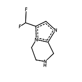 FC(F)c1cnc2n1CCNC2